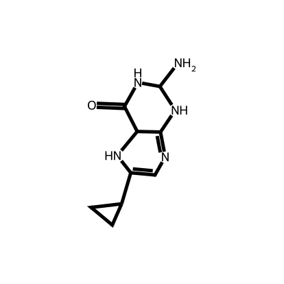 NC1NC(=O)C2NC(C3CC3)=CN=C2N1